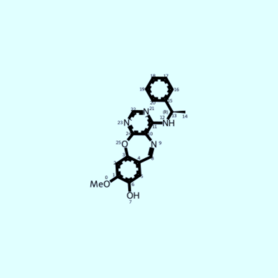 COc1cc2c(cc1O)C=Nc1c(N[C@H](C)c3ccccc3)ncnc1O2